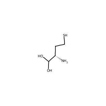 N[C@@H](CCS)C(O)O